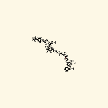 Cc1ncsc1-c1ccc(CNC(=O)C[C@@H]2C[C@@H](O)CN2C(=O)[C@@H](NC(=O)COCCOCCNC(=O)C23CC(COc4cc(-c5ccccc5O)nnc4N)(C2)C3)C(C)(C)C)cc1